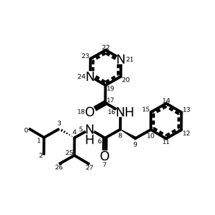 CC(C)C[C@H](NC(=O)[C@H](Cc1ccccc1)NC(=O)c1cnccn1)C(C)C